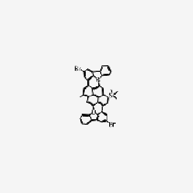 Cc1cc2c3c(cc4c([Si](C)(C)C)cc5c6c(cc1c3c46)B1c3ccccc3-c3cc(Br)cc-5c31)B1c3ccccc3-c3cc(Br)cc-2c31